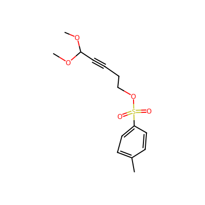 COC(C#CCCOS(=O)(=O)c1ccc(C)cc1)OC